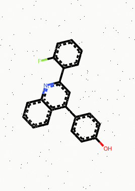 Oc1ccc(-c2cc(-c3ccccc3F)nc3ccccc23)cc1